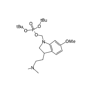 COc1ccc2c(c1)N(COP(=O)(OC(C)(C)C)OC(C)(C)C)CC2CCN(C)C